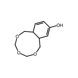 OC1=CC2COCOCOCC2C=C1